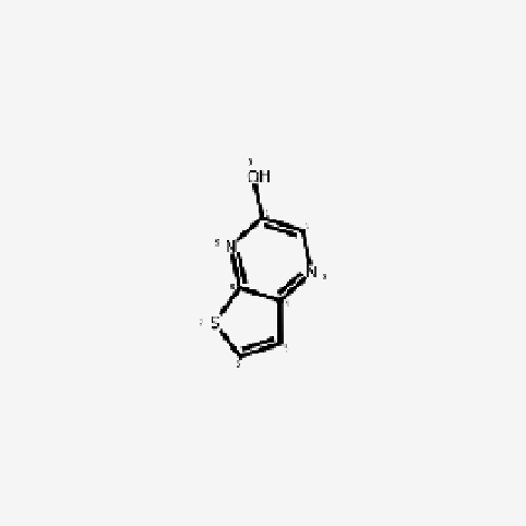 Oc1cnc2ccsc2n1